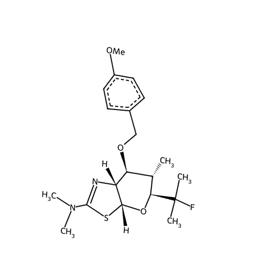 COc1ccc(CO[C@H]2[C@H](C)[C@@H](C(C)(C)F)O[C@@H]3SC(N(C)C)=N[C@H]23)cc1